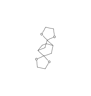 C1COC2(CC3CCC2CC32OCCO2)O1